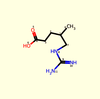 CC(CCC(=O)O)CNC(=N)N